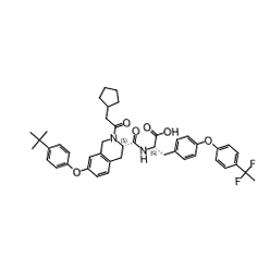 CC(C)(C)c1ccc(Oc2ccc3c(c2)CN(C(=O)CC2CCCC2)[C@H](C(=O)N[C@@H](Cc2ccc(Oc4ccc(C(C)(F)F)cc4)cc2)C(=O)O)C3)cc1